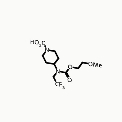 COCCOC(=O)N(CC(F)(F)F)C1CCN(C(=O)O)CC1